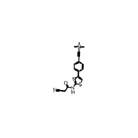 C[Si](C)(C)C#Cc1ccc(-c2csc(NC(=O)CC#N)n2)cc1